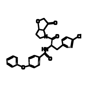 O=C(NC(Cc1ccc(Cl)cc1)C(=O)N1CCC2OCC(=O)C21)c1ccc(Oc2ccccc2)cc1